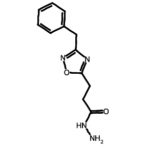 NNC(=O)CCc1nc(Cc2ccccc2)no1